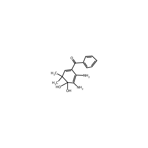 CC1(C)C=C(C(=O)c2ccccc2)C(N)=C(N)C1(O)O